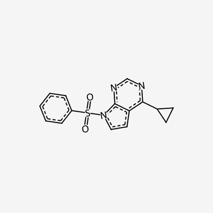 O=S(=O)(c1ccccc1)n1ccc2c(C3CC3)ncnc21